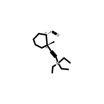 CC[Si](C#C[C@]1(C)CCCC[C@@H]1C=O)(CC)CC